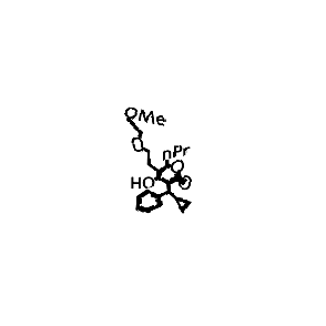 CCCc1oc(=O)c(C(c2ccccc2)C2CC2)c(O)c1CCOCCOC